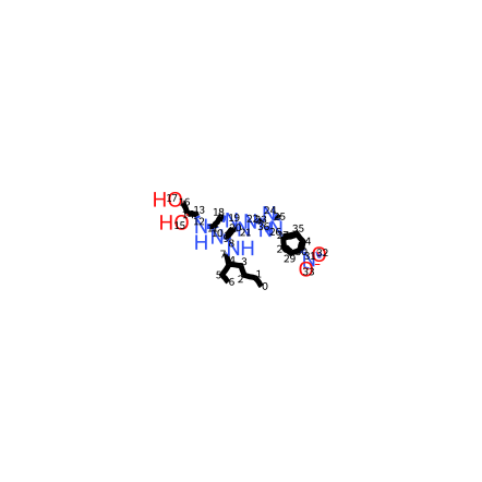 CCCCC(CC)CNc1nc(NCC(O)CO)cnc1N=Nc1ncn(-c2ccc([N+](=O)[O-])cc2)n1